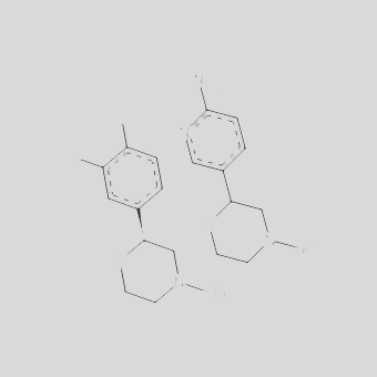 CCCN1CCOC(c2ccc(N)nc2)C1.CCCN1CCO[C@@H](c2ccc(F)c(O)c2)C1